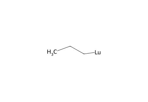 CC[CH2][Lu]